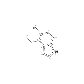 CCc1c(S)cnc2[nH]ccc12